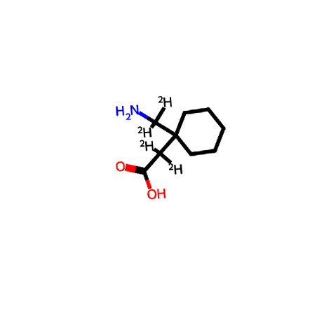 [2H]C([2H])(N)C1(C([2H])([2H])C(=O)O)CCCCC1